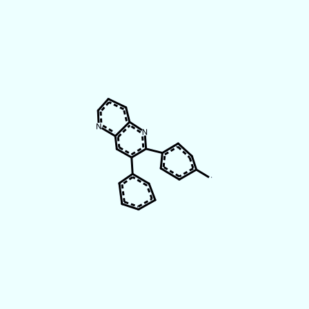 [CH2]c1ccc(-c2nc3cccnc3cc2-c2ccccc2)cc1